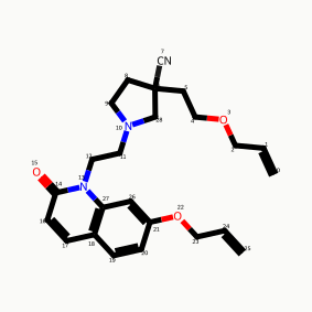 C=CCOCCC1(C#N)CCN(CCn2c(=O)ccc3ccc(OCC=C)cc32)C1